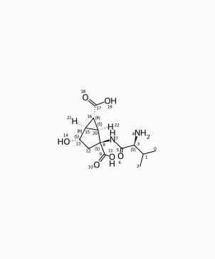 CC(C)[C@H](N)C(=O)N[C@@]1(C(=O)O)C[C@H](O)[C@H]2[C@H](C(=O)O)[C@H]21